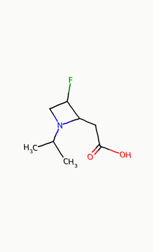 CC(C)N1CC(F)C1CC(=O)O